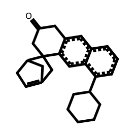 O=C1Cc2cc3cccc(C4CCCCC4)c3cc2C2(C1)CC1=CCC2C1